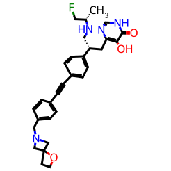 C[C@@H](CF)NC[C@H](Cc1nc[nH]c(=O)c1O)c1ccc(C#Cc2ccc(CN3CC4(CCO4)C3)cc2)cc1